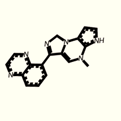 CN1C=C2C(c3cccc4nccnc34)=NCN2c2cc[nH]c21